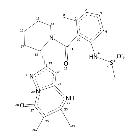 Cc1cccc(N[S+](C)[O-])c1C(=O)N1CCCC[C@H]1c1cc2[nH]c(C)c(C)c(=O)n2n1